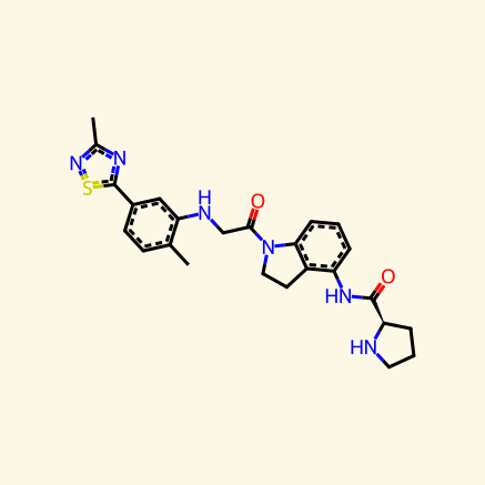 Cc1nsc(-c2ccc(C)c(NCC(=O)N3CCc4c(NC(=O)[C@H]5CCCN5)cccc43)c2)n1